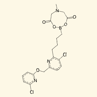 CN1CC(=O)OB(CCCCc2nc(COc3cccc(Cl)n3)ccc2Cl)OC(=O)C1